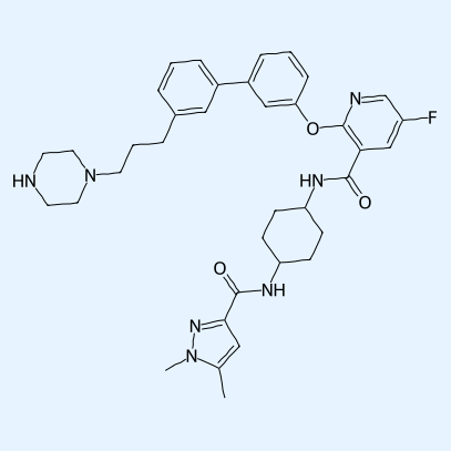 Cc1cc(C(=O)NC2CCC(NC(=O)c3cc(F)cnc3Oc3cccc(-c4cccc(CCCN5CCNCC5)c4)c3)CC2)nn1C